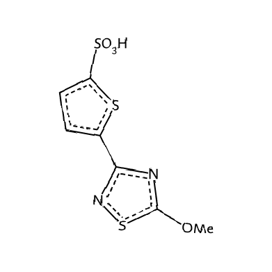 COc1nc(-c2ccc(S(=O)(=O)O)s2)ns1